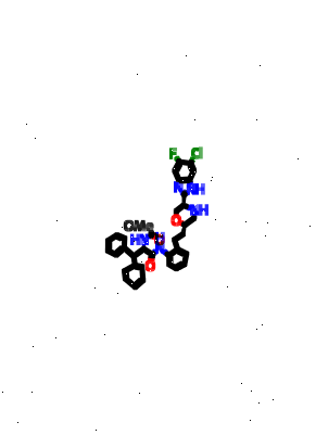 COC(=O)N[C@H](C(=O)Nc1ccccc1CC[C@@H]1CN[C@H](c2nc3cc(F)c(Cl)cc3[nH]2)CO1)C(c1ccccc1)c1ccccc1